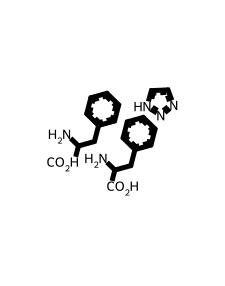 NC(Cc1ccccc1)C(=O)O.NC(Cc1ccccc1)C(=O)O.c1c[nH]nn1